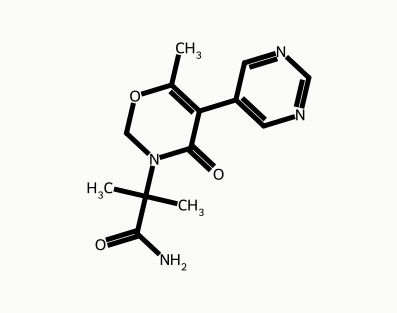 CC1=C(c2cncnc2)C(=O)N(C(C)(C)C(N)=O)CO1